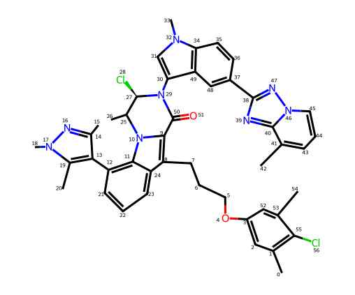 Cc1cc(OCCCc2c3n(c4c(-c5c(C)nn(C)c5C)cccc24)C(C)[C@@H](Cl)N(c2cn(C)c4ccc(-c5nc6c(C)cccn6n5)cc24)C3=O)cc(C)c1Cl